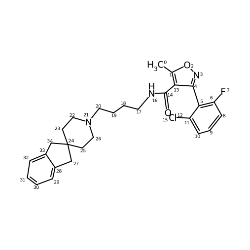 Cc1onc(-c2c(F)cccc2Cl)c1C(=O)NCCCCN1CCC2(CC1)Cc1ccccc1C2